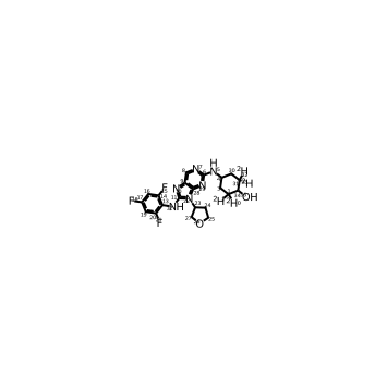 [2H]C1([2H])CC(Nc2ncc3nc(Nc4c(F)cc(F)cc4F)n(C4CCOC4)c3n2)CC([2H])([2H])C1O